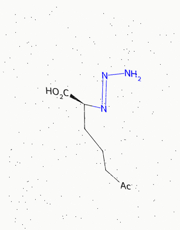 CC(=O)CCC[C@H](N=NN)C(=O)O